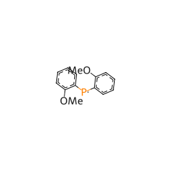 COc1ccccc1[P]c1ccccc1OC